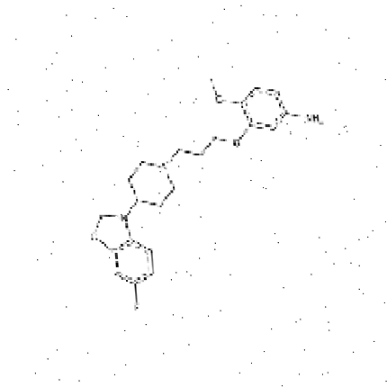 COc1ccc(N)cc1OCCCN1CCC(N2COc3cc(F)ccc32)CC1